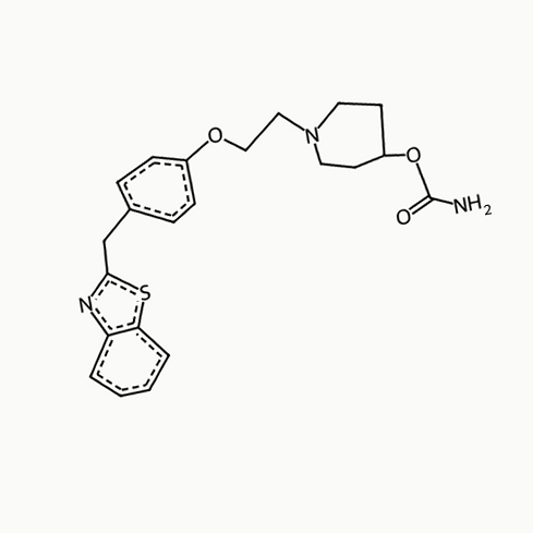 NC(=O)OC1CCN(CCOc2ccc(Cc3nc4ccccc4s3)cc2)CC1